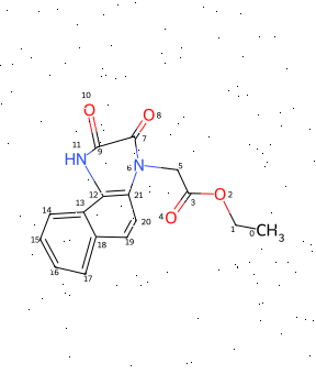 CCOC(=O)Cn1c(=O)c(=O)[nH]c2c3ccccc3ccc21